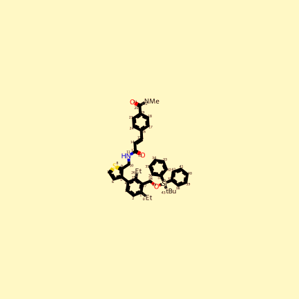 CCc1ccc(-c2ccsc2CNC(=O)C=Cc2ccc(C(=O)NC)cc2)c(CC)c1CO[Si](c1ccccc1)(c1ccccc1)C(C)(C)C